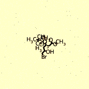 COC(=O)C[C@@H](CC(O)CBr)O[Si](C)(C)C(C)(C)C